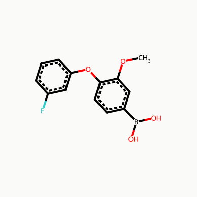 COc1cc(B(O)O)ccc1Oc1cccc(F)c1